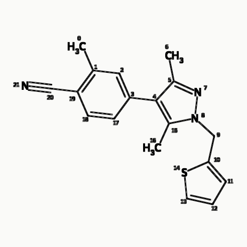 Cc1cc(-c2c(C)nn(Cc3cccs3)c2C)ccc1C#N